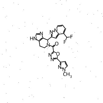 Cn1ccc(-c2nnc(C(=O)N3CCc4[nH]cnc4C3c3cc4c(C(F)F)cccn4n3)o2)n1